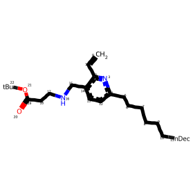 C=Cc1nc(CCCCCCCCCCCCCCCC)ccc1CNCCC(=O)OC(C)(C)C